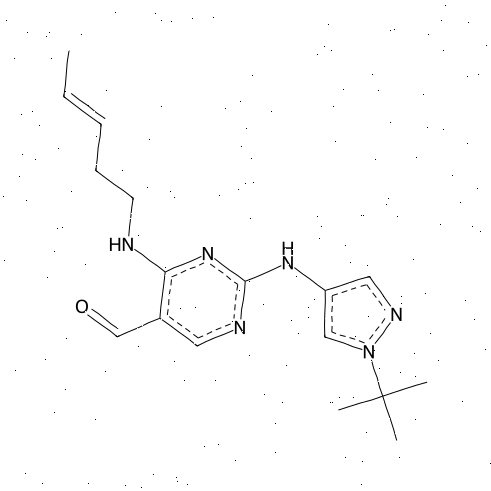 C/C=C/CCNc1nc(Nc2cnn(C(C)(C)C)c2)ncc1C=O